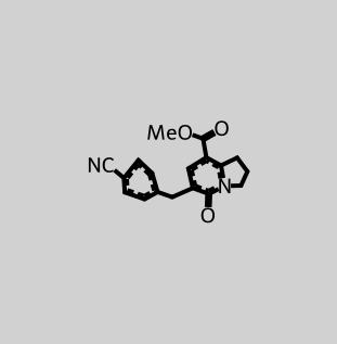 COC(=O)c1cc(Cc2ccc(C#N)cc2)c(=O)n2c1CCC2